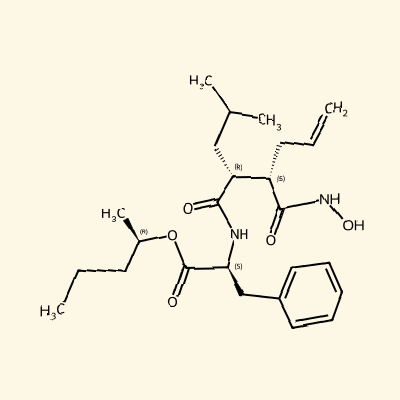 C=CC[C@H](C(=O)NO)[C@@H](CC(C)C)C(=O)N[C@@H](Cc1ccccc1)C(=O)O[C@H](C)CCC